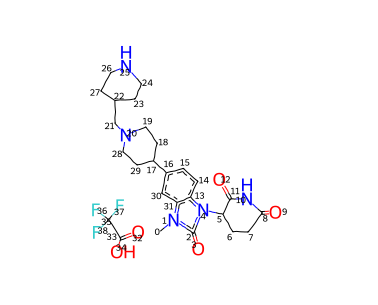 Cn1c(=O)n(C2CCC(=O)NC2=O)c2ccc(C3CCN(CC4CCNCC4)CC3)cc21.O=C(O)C(F)(F)F